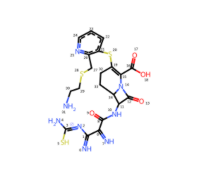 N=C(/N=C(/N)S)C(=N)C(=O)NC1C(=O)N2C(C(=O)O)=C(Sc3cccnc3CSCCN)CCC12